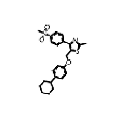 Cc1nc(-c2ccc(S(C)(=O)=O)cc2)c(COc2c[c]c(C3CCCCC3)cc2)s1